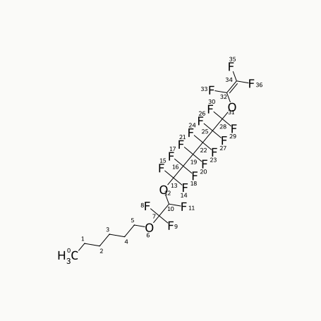 CCCCCCOC(F)(F)C(F)OC(F)(F)C(F)(F)C(F)(F)C(F)(F)C(F)(F)C(F)(F)OC(F)=C(F)F